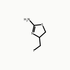 NC1=NC(CI)CS1